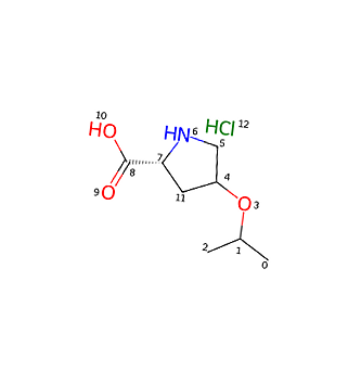 CC(C)OC1CN[C@@H](C(=O)O)C1.Cl